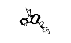 CCOc1ccc2[nH]c3cccnc3c2c1